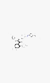 CC(C)c1ccc(/C=C/C(=O)COc2c(-c3ccc(O)cc3)oc3cc(O)cc(O)c3c2=O)cc1